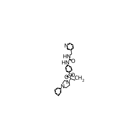 C=CC(N1CCN(c2ccccc2)CC1)S(=O)(=O)c1ccc(NC(=O)NCc2cccnc2)cc1